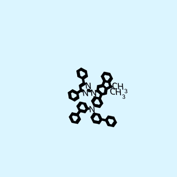 CC1(C)c2ccccc2-c2cc3c(cc21)c1ccc(N(c2cccc(-c4ccccc4)c2)c2cccc(-c4ccccc4)c2)cc1n3-c1nc(-c2ccccc2)cc(-c2ccccc2)n1